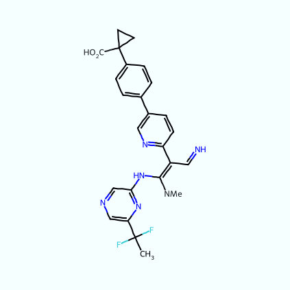 CN/C(Nc1cncc(C(C)(F)F)n1)=C(\C=N)c1ccc(-c2ccc(C3(C(=O)O)CC3)cc2)cn1